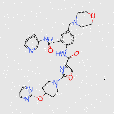 O=C(Nc1ccc(CN2CCOCC2)cc1C(=O)Nc1cccnc1)c1coc(N2CCC(Oc3ncccn3)CC2)n1